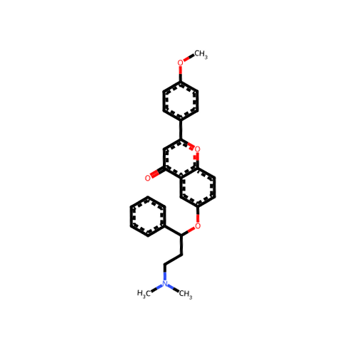 COc1ccc(-c2cc(=O)c3cc(OC(CCN(C)C)c4ccccc4)ccc3o2)cc1